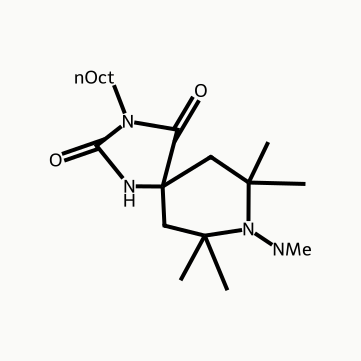 CCCCCCCCN1C(=O)NC2(CC(C)(C)N(NC)C(C)(C)C2)C1=O